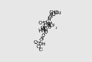 CC(C)(C)OC(=O)N1CCN(CC[C@H](CSc2ccccc2)Nc2ccc(S(=O)(=O)NC(=O)c3ccc(N4CCC([C@@H](O)c5ccccc5-c5ccc(Cl)cc5)CC4)cc3)cc2S(=O)(=O)C(F)(F)F)CC1